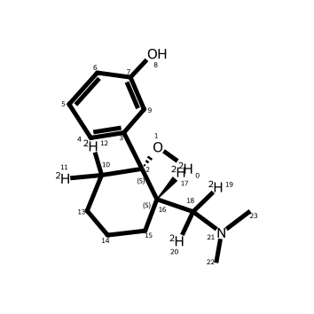 [2H]O[C@@]1(c2cccc(O)c2)C([2H])([2H])CCC[C@@]1([2H])C([2H])([2H])N(C)C